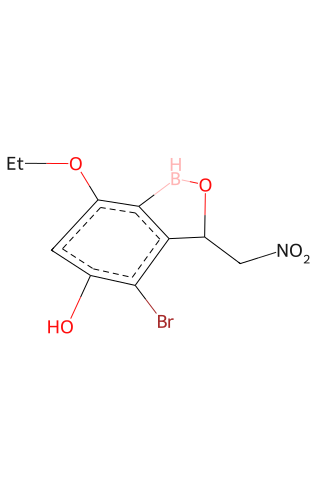 CCOc1cc(O)c(Br)c2c1BOC2C[N+](=O)[O-]